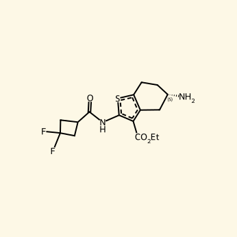 CCOC(=O)c1c(NC(=O)C2CC(F)(F)C2)sc2c1C[C@@H](N)CC2